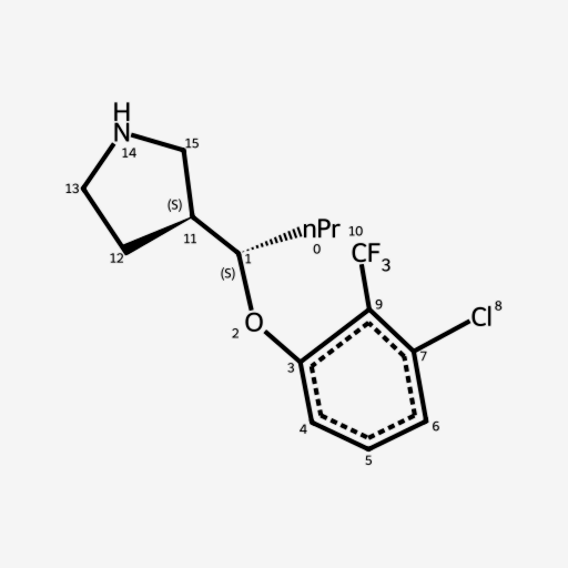 CCC[C@H](Oc1cccc(Cl)c1C(F)(F)F)[C@H]1CCNC1